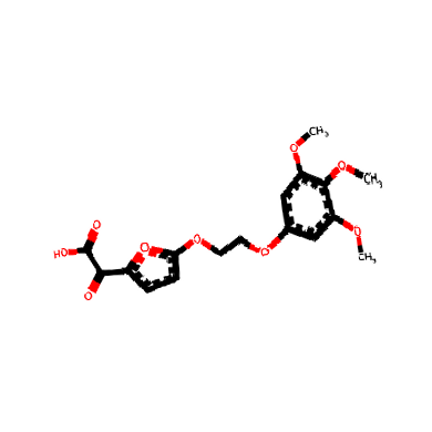 COc1cc(OCCOc2ccc(C(=O)C(=O)O)o2)cc(OC)c1OC